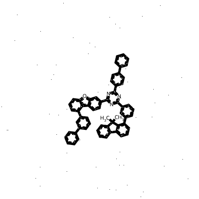 CC1(C)c2ccccc2-c2cccc(-c3cccc(-c4nc(-c5ccc(-c6ccccc6)cc5)nc(-c5ccc6c(c5)oc5cccc(-c7cccc(-c8ccccc8)c7)c56)n4)c3)c21